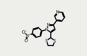 O=[N+]([O-])c1ccc(-n2nc(-c3cccnc3)cc2C2SCCS2)cc1